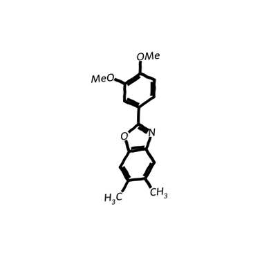 COc1ccc(-c2nc3cc(C)c(C)cc3o2)cc1OC